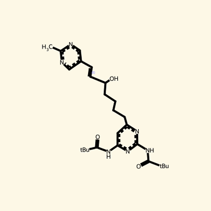 Cc1ncc(/C=C/C(O)CCCCc2cc(NC(=O)C(C)(C)C)nc(NC(=O)C(C)(C)C)n2)cn1